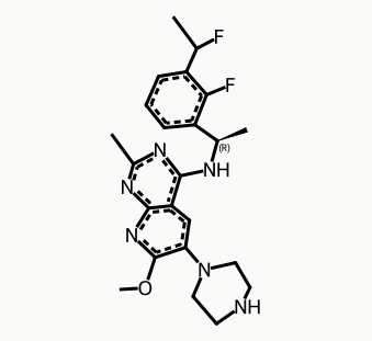 COc1nc2nc(C)nc(N[C@H](C)c3cccc(C(C)F)c3F)c2cc1N1CCNCC1